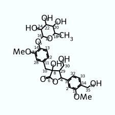 COc1cc(C2OC(=O)C(O)(Cc3ccc(OC4OC(C)C(O)C(O)C4O)c(OC)c3)C2CO)ccc1CO